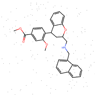 COC(=O)c1ccc(C2CC(CNCc3cccc4ccccc34)Oc3ccccc32)c(OC)c1